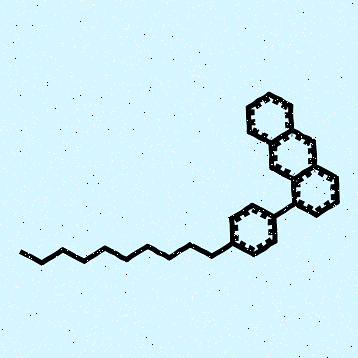 CCCCCCCCCCc1ccc(-c2cccc3cc4ccccc4cc23)cc1